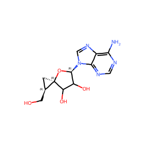 Nc1ncnc2c1ncn2[C@@H]1O[C@@]2(C[C@@H]2CO)C(O)C1O